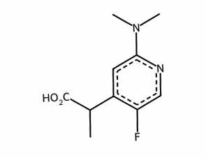 CC(C(=O)O)c1cc(N(C)C)ncc1F